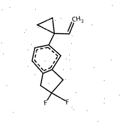 C=CC1(c2ccc3c(c2)CC(F)(F)C3)CC1